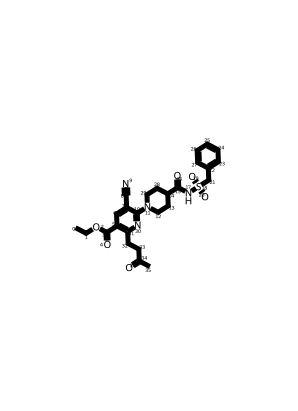 CCOC(=O)c1cc(C#N)c(N2CCC(C(=O)NS(=O)(=O)Cc3ccccc3)CC2)nc1CCC(C)=O